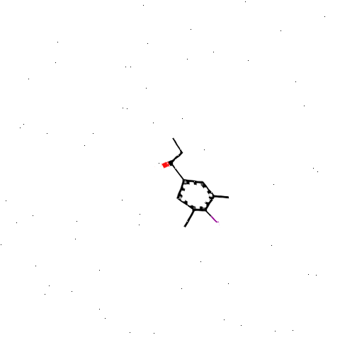 CCC(=O)c1cc(C)c(I)c(C)c1